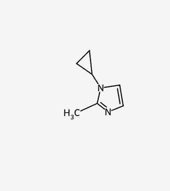 Cc1nccn1C1CC1